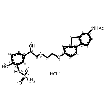 CC(=O)Nc1ccc2c(c1)Cc1cc(OCCNCC(O)c3ccc(O)c(NS(C)(=O)=O)c3)ccc1-2.Cl